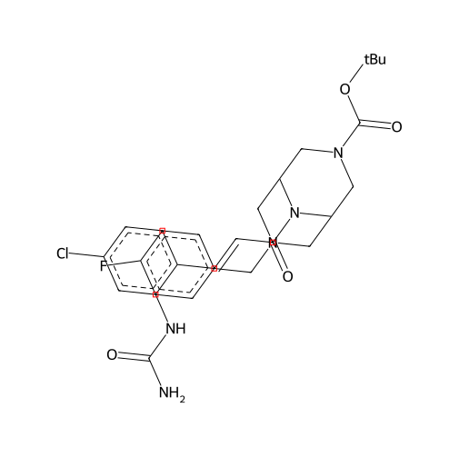 CC(C)(C)OC(=O)N1CC2CN(Cc3ccc(F)cc3)CC(C1)N2C(=O)C=Cc1ccc(Cl)cc1NC(N)=O